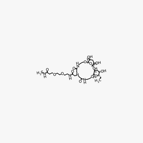 C=C[C@@H]1O[C@H]2OCCNC(=O)CN(CC(=O)NCCOCCOCCC(=O)NC)CC(=O)NCCO[C@@H]3O[C@@H](O[C@H]2C[C@@H]1O)[C@@H](O)C[C@@H]3O